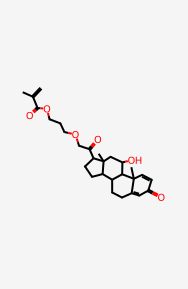 C=C(C)C(=O)OCCCOCC(=O)C1CCC2C3CCC4=CC(=O)C=CC4(C)C3C(O)CC12C